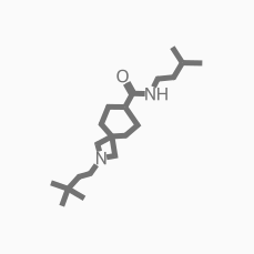 CC(C)CCNC(=O)C1CCC2(CC1)CN(CCC(C)(C)C)C2